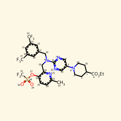 CCOC(=O)C1CCN(c2cnc(N(Cc3cc(C(F)(F)F)cc(C(F)(F)F)c3)Cc3nc(C)ccc3OS(=O)(=O)C(F)(F)F)nc2)CC1